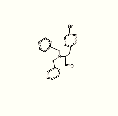 O=CC(Cc1ccc(Br)cc1)N(Cc1ccccc1)Cc1ccccc1